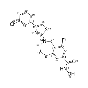 O=C(NO)c1cc(F)c2c(c1)CCCN(c1nc(-c3cccc(Cl)c3)cs1)C2